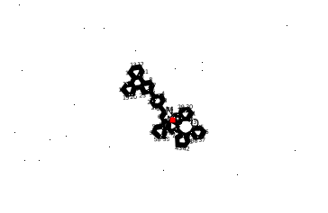 C1=C(c2ccc(-c3ccc4c5ccccc5c5ccccc5c4c3)cc2)N=C(c2cccc3oc4ccccc4c4ccccc4c4ccccc4c23)NC1c1ccccc1